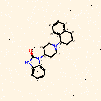 O=c1[nH]c2ccccc2n1C1CCN([C@@H]2CCCc3ccccc32)CC1